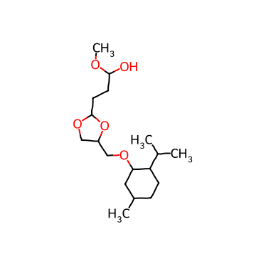 COC(O)CCC1OCC(COC2CC(C)CCC2C(C)C)O1